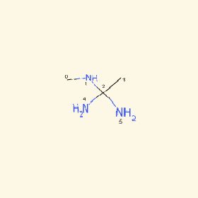 CNC(C)(N)N